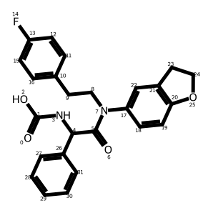 O=C(O)NC(C(=O)N(CCc1ccc(F)cc1)c1ccc2c(c1)CCO2)c1ccccc1